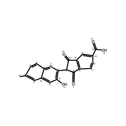 Cc1ccc2nc(C3C(=O)c4ccc(C(=O)O)cc4C3=O)c(O)cc2c1